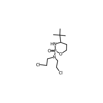 CC(C)(C)C1CCOP(=O)(N(CCCl)CCCl)N1